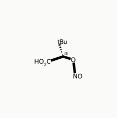 CC(C)(C)[C@H](ON=O)C(=O)O